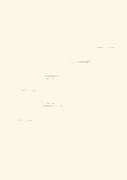 [CH2]CC(=O)Nc1cc(OC)c(OC)c(OC)c1